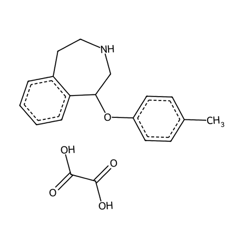 Cc1ccc(OC2CNCCc3ccccc32)cc1.O=C(O)C(=O)O